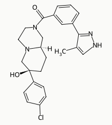 Cc1c[nH]nc1-c1cccc(C(=O)N2CCN3C[C@@](O)(c4ccc(Cl)cc4)CC[C@@H]3C2)c1